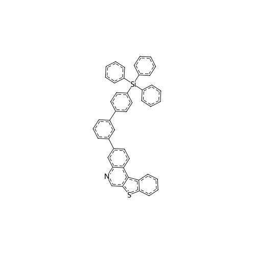 c1ccc([Si](c2ccccc2)(c2ccccc2)c2ccc(-c3cccc(-c4ccc5c(c4)ncc4sc6ccccc6c45)c3)cc2)cc1